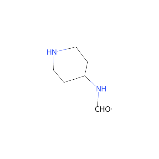 O=[C]NC1CCNCC1